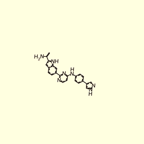 C=C(N)c1cc2ccc(-c3nccc(Nc4ccc(-c5cn[nH]c5)cc4)n3)cc2[nH]1